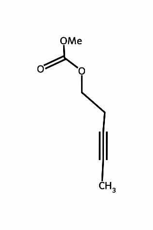 CC#CCCOC(=O)OC